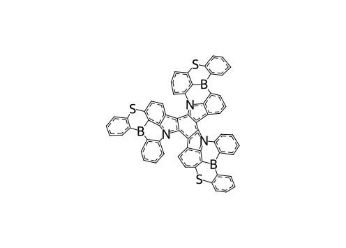 c1ccc2c(c1)Sc1cccc3c1B2c1cccc2c4c(c5c6ccc7c8c6n(c5c5c6ccc9c%10c6n(c45)-c4ccccc4B%10c4ccccc4S9)-c4ccccc4B8c4ccccc4S7)n-3c12